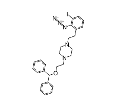 [N-]=[N+]=Nc1c(I)cccc1CCN1CCN(CCOC(c2ccccc2)c2ccccc2)CC1